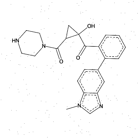 Cn1cnc2cc(-c3ccccc3C(=O)C3(O)CC3C(=O)N3CCNCC3)ccc21